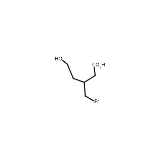 CC(C)CC(CCO)CC(=O)O